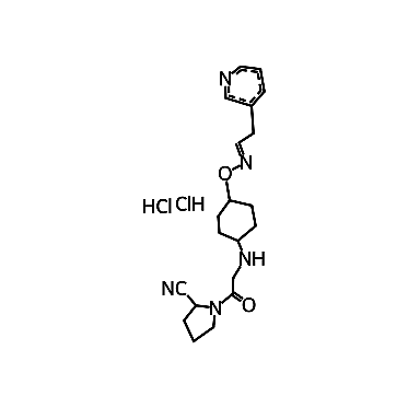 Cl.Cl.N#CC1CCCN1C(=O)CNC1CCC(O/N=C/Cc2cccnc2)CC1